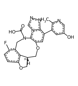 Cc1ncc(O)cc1-c1cc2c(n3cnnc13)N(C(=O)O)Cc1c(F)ccc3c1[C@@H](CO3)CO2